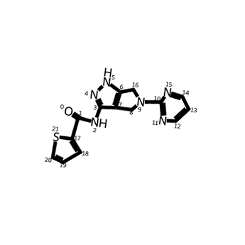 O=C(Nc1n[nH]c2c1CN(c1ncccn1)C2)c1cccs1